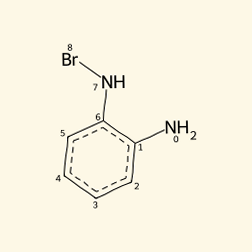 Nc1ccccc1NBr